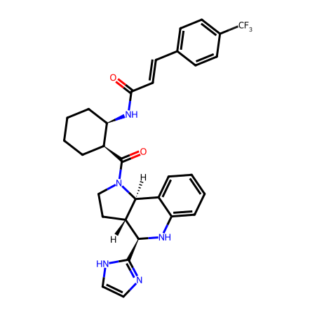 O=C(/C=C/c1ccc(C(F)(F)F)cc1)N[C@@H]1CCCC[C@@H]1C(=O)N1CC[C@H]2[C@H](c3ncc[nH]3)Nc3ccccc3[C@@H]21